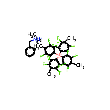 C[NH+](C)Cc1ccccc1.Cc1c(F)c(F)c([B-](c2c(F)c(F)c(C)c(F)c2F)(c2c(F)c(F)c(C)c(F)c2F)c2c(F)c(F)c(C)c(F)c2F)c(F)c1F